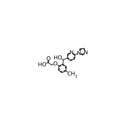 Cc1ccc(OCC(=O)O)c(C(O)c2ccc(-n3ccnc3)nc2)c1